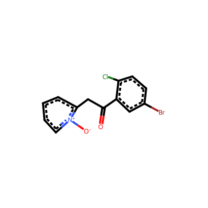 O=C(Cc1cccc[n+]1[O-])c1cc(Br)ccc1Cl